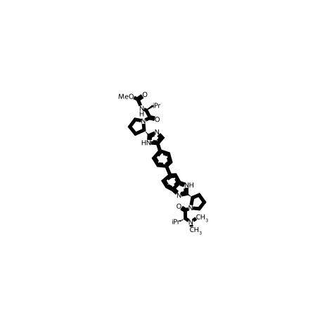 COC(=O)N[C@H](C(=O)N1CCC[C@H]1c1ncc(-c2ccc(-c3ccc4nc([C@@H]5CCCN5C(=O)[C@@H](C(C)C)N(C)C)[nH]c4c3)cc2)[nH]1)C(C)C